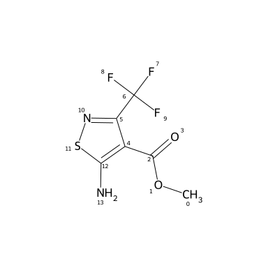 COC(=O)c1c(C(F)(F)F)nsc1N